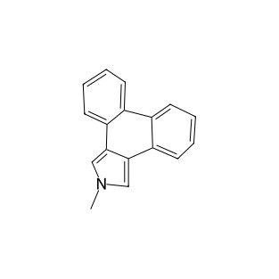 Cn1cc2c3ccccc3c3ccccc3c2c1